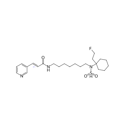 O=C(/C=C/c1cccnc1)NCCCCCCCN([SH](=O)=O)C1(CCF)CCCCC1